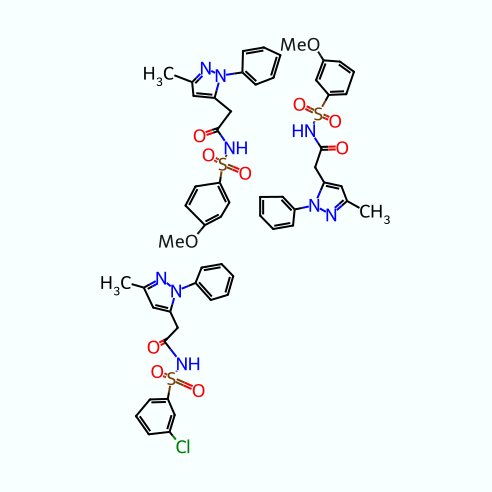 COc1ccc(S(=O)(=O)NC(=O)Cc2cc(C)nn2-c2ccccc2)cc1.COc1cccc(S(=O)(=O)NC(=O)Cc2cc(C)nn2-c2ccccc2)c1.Cc1cc(CC(=O)NS(=O)(=O)c2cccc(Cl)c2)n(-c2ccccc2)n1